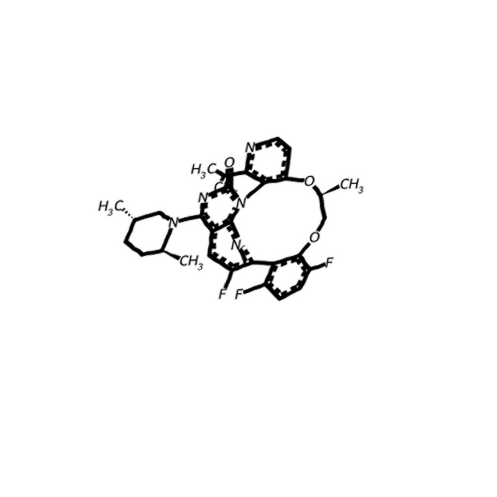 CC(C)c1nccc2c1-n1c(=O)nc(N3C[C@@H](C)CC[C@@H]3C)c3cc(F)c(nc31)-c1c(F)ccc(F)c1OC[C@H](C)O2